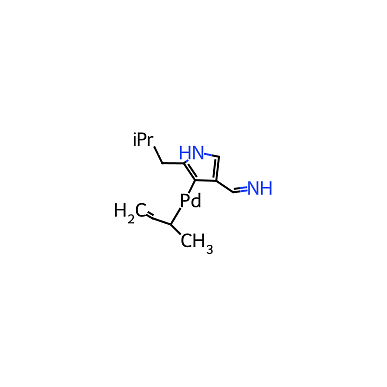 C=C[CH](C)[Pd][c]1c(C=N)c[nH]c1CC(C)C